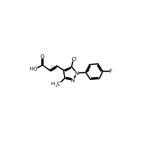 Cc1nn(-c2ccc(F)cc2)c(Cl)c1/C=C/C(=O)O